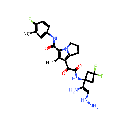 Cc1c(C(=O)C(=O)NC2(/C(N)=C/NN)CC(F)(F)C2)c2n(c1C(=O)Nc1ccc(F)c(C#N)c1)CCC2